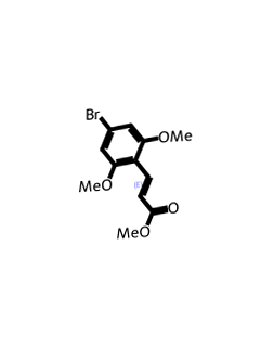 COC(=O)/C=C/c1c(OC)cc(Br)cc1OC